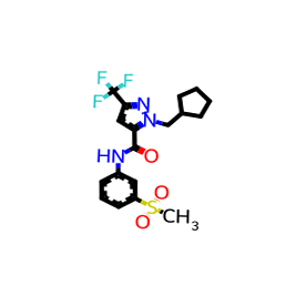 CS(=O)(=O)c1cccc(NC(=O)c2cc(C(F)(F)F)nn2CC2CCCC2)c1